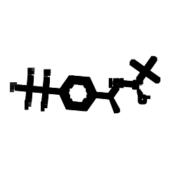 C[C@H](N[S@@+]([O-])C(C)(C)C)c1ccc(C(F)(F)C(F)(F)F)cc1